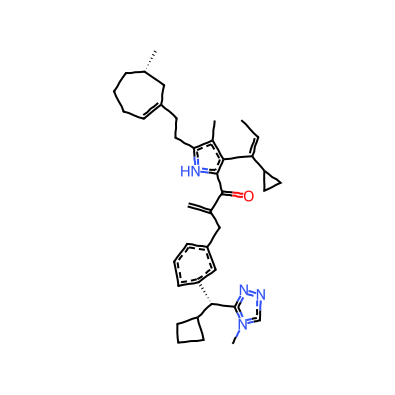 C=C(Cc1cccc([C@H](c2nncn2C)C2CCC2)c1)C(=O)c1[nH]c(CCC2=CCCC[C@H](C)C2)c(C)c1/C(=C\C)C1CC1